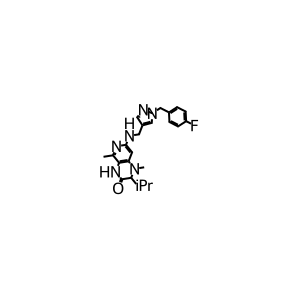 Cc1nc(NCc2cnn(Cc3ccc(F)cc3)c2)cc2c1NC(=O)C(C(C)C)N2C